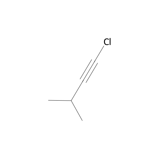 CC(C)C#CCl